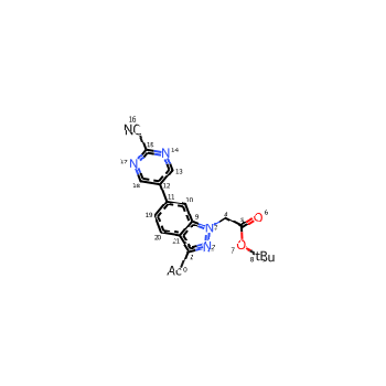 CC(=O)c1nn(CC(=O)OC(C)(C)C)c2cc(-c3cnc(C#N)nc3)ccc12